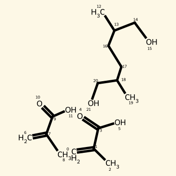 C=C(C)C(=O)O.C=C(C)C(=O)O.CC(CO)CCC(C)CO